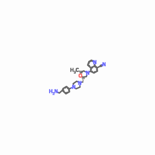 C[C@@H]1CN(c2ccc(C#N)c3ncccc23)C[C@H](CN2CCN(c3ccc(CN)cc3)CC2)O1